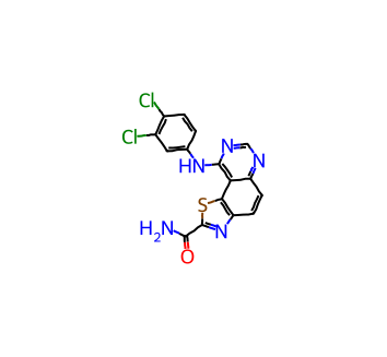 NC(=O)c1nc2ccc3ncnc(Nc4ccc(Cl)c(Cl)c4)c3c2s1